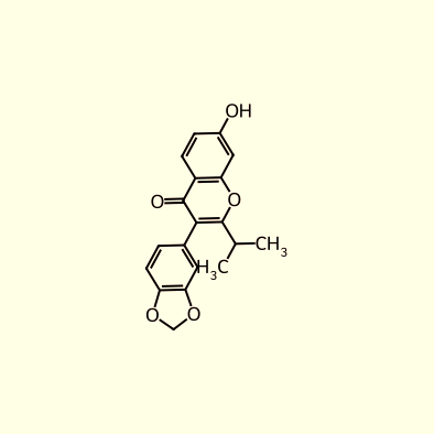 CC(C)c1oc2cc(O)ccc2c(=O)c1-c1ccc2c(c1)OCO2